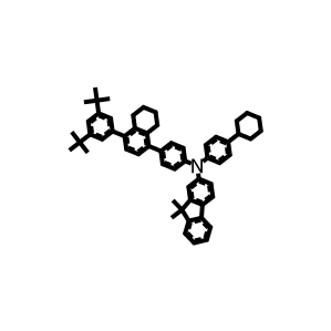 CC(C)(C)c1cc(-c2ccc(-c3ccc(N(c4ccc(C5CCCCC5)cc4)c4ccc5c(c4)C(C)(C)c4ccccc4-5)cc3)c3c2CCCC3)cc(C(C)(C)C)c1